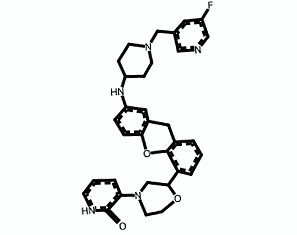 O=c1[nH]cccc1N1CCOC(c2cccc3c2Oc2ccc(NC4CCN(Cc5cncc(F)c5)CC4)cc2C3)C1